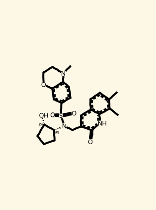 Cc1ccc2cc(CN([C@@H]3CCC[C@@H]3O)S(=O)(=O)c3ccc4c(c3)OCCN4C)c(=O)[nH]c2c1C